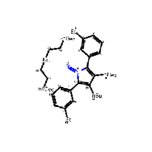 CCCCCCC1=C(c2cccc(CC)c2)[N+](=[N-])C(c2cccc(CC)c2)=C1CCCC.CCCCCCCCCCC[CH2][Ni][CH2]CCCCCCCCCCC